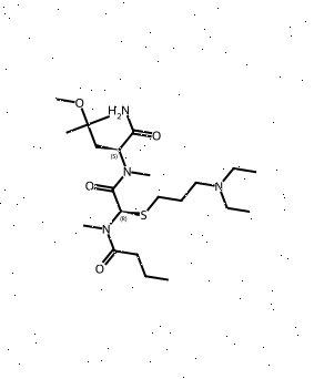 CCCC(=O)N(C)[C@H](SCCCN(CC)CC)C(=O)N(C)[C@@H](CC(C)(C)OC)C(N)=O